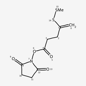 C=C(CCC(=O)ON1C(=O)CCC1=O)SSC